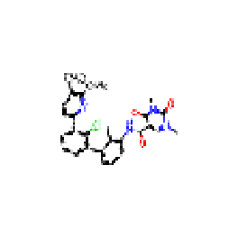 COc1nc(-c2cccc(-c3cccc(NC(=O)c4cn(C)c(=O)n(C)c4=O)c3C)c2Cl)ccc1C=O